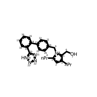 CCCc1cc(C(C)C)c(CO)n1Cc1ccc(-c2ccccc2-c2nnn[nH]2)cc1